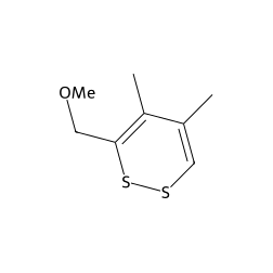 COCC1=C(C)C(C)=CSS1